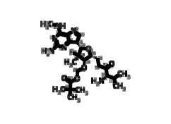 CNc1nc(N)nc2c1N=CC2[C@@H]1O[C@H](CCC(=O)[C@@H](N)C(C)C)[C@@H](OCOC(=O)C(C)(C)C)[C@@]1(C)F